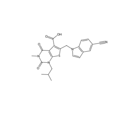 CC(C)Cn1c(=O)n(C)c(=O)c2c(C(=O)O)c(Cn3ccc4cc(C#N)ccc43)sc21